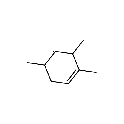 CC1=CCC(C)[CH]C1C